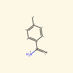 Cc1ccc(C(N)=[Se])cc1